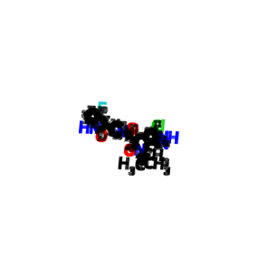 CC(C)(C)CN1Cc2c(cc(Cl)c3[nH]ncc23)C[C@@H](CC(=O)N2CCC(c3cc4c(F)cccc4[nH]c3=O)CC2)C1=O